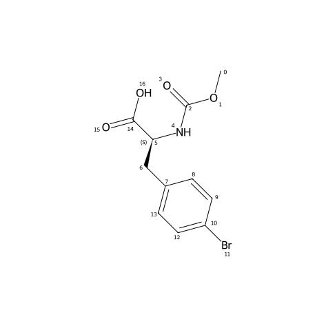 COC(=O)N[C@@H](Cc1ccc(Br)cc1)C(=O)O